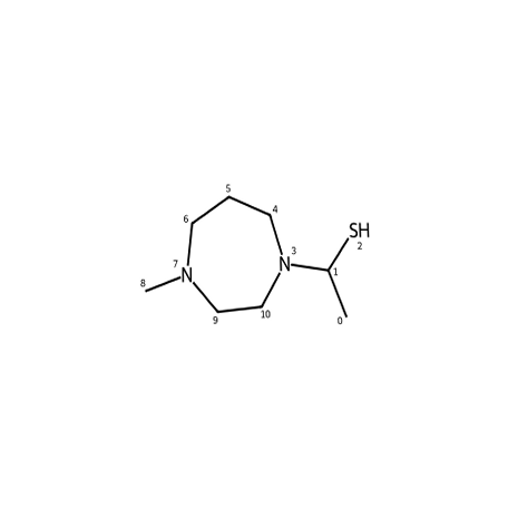 CC(S)N1CCCN(C)CC1